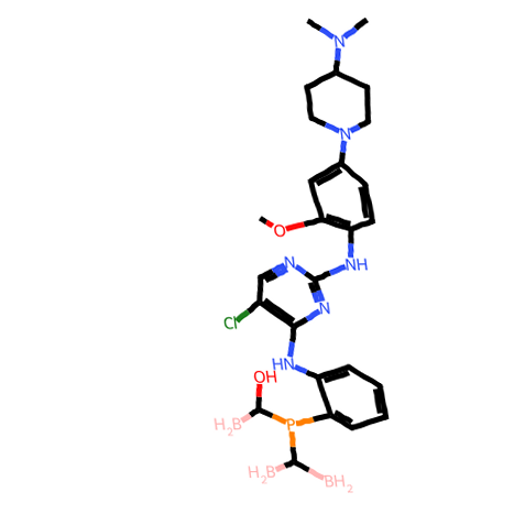 BC(B)P(c1ccccc1Nc1nc(Nc2ccc(N3CCC(N(C)C)CC3)cc2OC)ncc1Cl)C(B)O